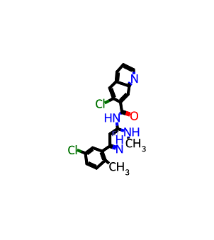 CN/C(=C\C(=N)c1cc(Cl)ccc1C)NC(=O)c1cc2ncccc2cc1Cl